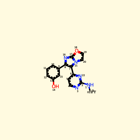 CCCNc1nccc(-c2c(-c3cccc(O)c3)nc3occn23)n1